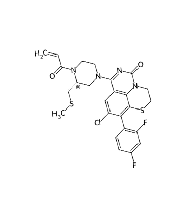 C=CC(=O)N1CCN(c2nc(=O)n3c4c(c(-c5ccc(F)cc5F)c(Cl)cc24)SCC3)C[C@@H]1CSC